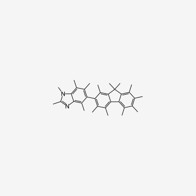 Cc1c(C)c(C)c2c(c1C)-c1c(C)c(C)c(-c3c(C)c(C)c4c(nc(C)n4C)c3C)c(C)c1C2(C)C